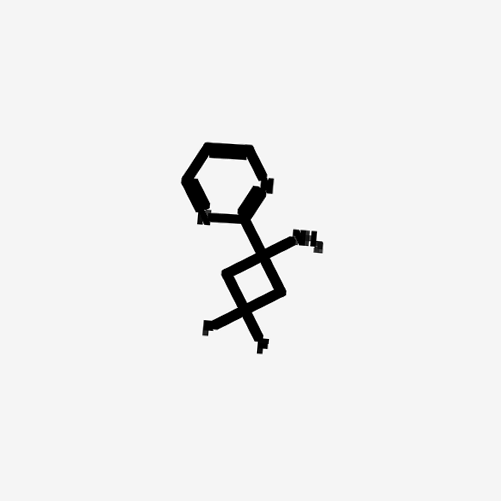 NC1(c2ncccn2)CC(F)(F)C1